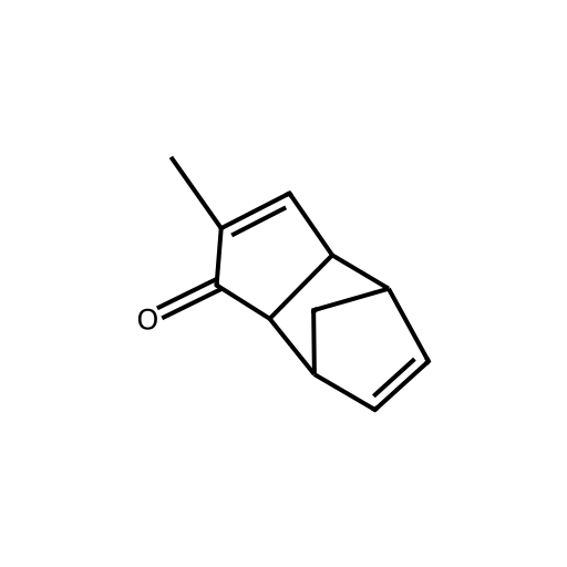 CC1=CC2C3C=CC(C3)C2C1=O